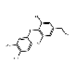 CC(C)c1cc(Oc2c(Cl)cc(CO)cc2Cl)ccc1O